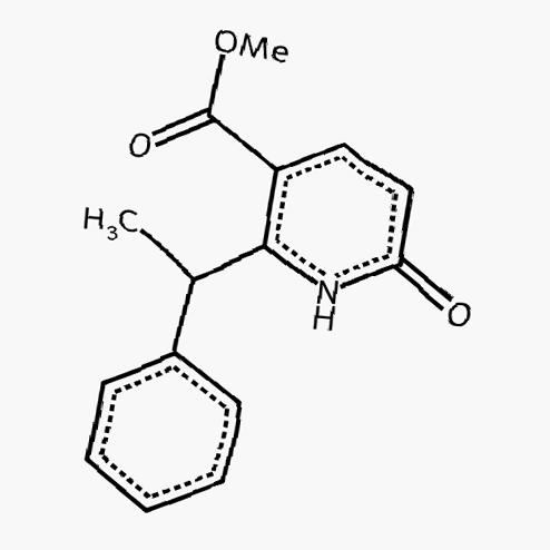 COC(=O)c1ccc(=O)[nH]c1C(C)c1ccccc1